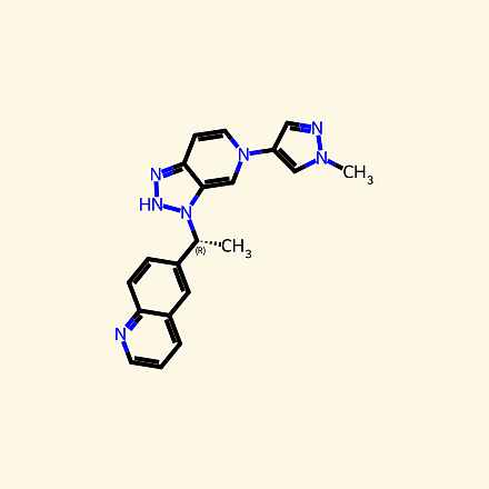 C[C@H](c1ccc2ncccc2c1)N1NN=C2C=CN(c3cnn(C)c3)C=C21